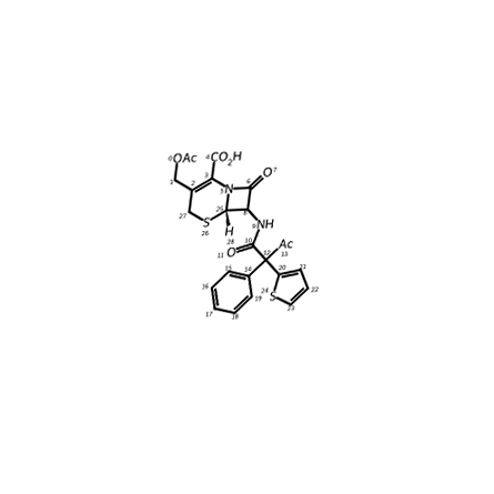 CC(=O)OCC1=C(C(=O)O)N2C(=O)C(NC(=O)C(C(C)=O)(c3ccccc3)c3cccs3)[C@@H]2SC1